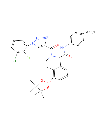 CC1(C)OB(c2cccc3c2CCN(C(=O)c2cn(-c4cccc(Cl)c4F)nn2)C3C(=O)Nc2ccc(C(=O)O)cc2)OC1(C)C